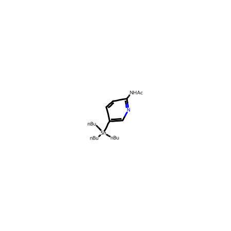 CCC[CH2][Sn]([CH2]CCC)([CH2]CCC)[c]1ccc(NC(C)=O)nc1